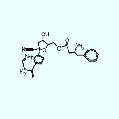 C=C(N)c1ccc(C2(C#N)C[C@H](O)C(COC(=O)CC(N)Cc3ccccc3)O2)n1/N=C\C